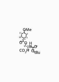 COc1ccc(C(=O)OCC(NC(=O)OC(C)(C)C)C(=O)O)cc1